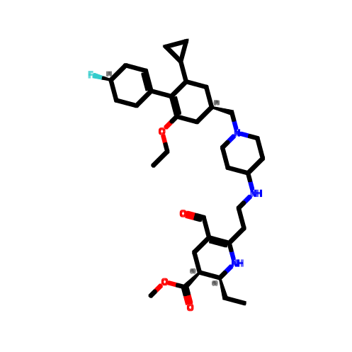 CCOC1=C(C2=CC[C@H](F)CC2)C(C2CC2)C[C@@H](CN2CCC(NCCC3=C(C=O)C[C@H](C(=O)OC)[C@H](CC)N3)CC2)C1